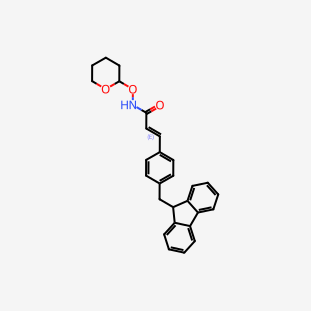 O=C(/C=C/c1ccc(CC2c3ccccc3-c3ccccc32)cc1)NOC1CCCCO1